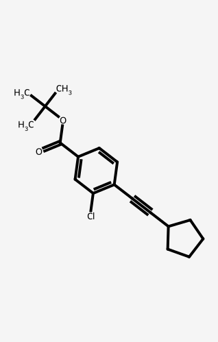 CC(C)(C)OC(=O)c1ccc(C#CC2CCCC2)c(Cl)c1